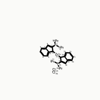 CCCP(CCC)C1=Cc2ccccc2[CH]1[Zr+2][CH]1C(P(C(C)C)C(C)C)=Cc2ccccc21.[Cl-].[Cl-]